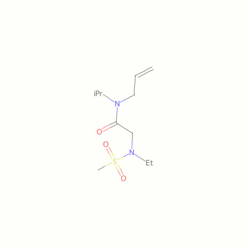 C=CCN(C(=O)CN(CC)S(C)(=O)=O)C(C)C